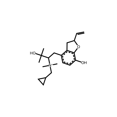 C=CC1Cc2c(CC(C(C)(C)O)[N+](C)(C)CC3CC3)ccc(O)c2O1